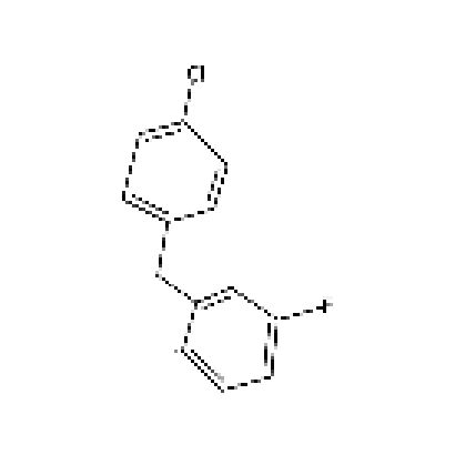 Fc1cc[c]c(Cc2ccc(Cl)cc2)c1